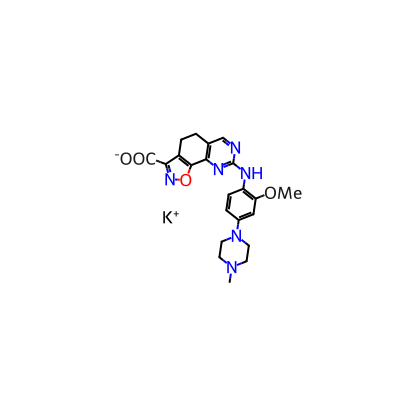 COc1cc(N2CCN(C)CC2)ccc1Nc1ncc2c(n1)-c1onc(C(=O)[O-])c1CC2.[K+]